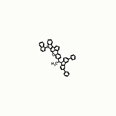 CC(c1ccc2c(c1)Oc1cc3c(c4cccc-2c14)c1ccccc1n3-c1cccc2ccccc12)C1c2ccc(-c3ccccc3)cc2-c2cc(-c3ccccc3)ccc21